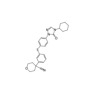 N#CC1(c2cccc(Sc3ccc(-n4ncn(C5CCCCC5)c4=O)cc3)c2)CCOCC1